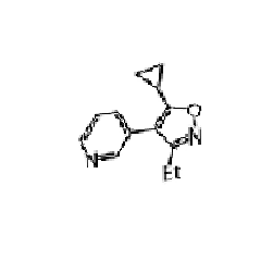 CCc1noc(C2CC2)c1-c1cccnc1